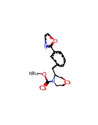 CC(C)(C)OC(=O)N1CCOCC1Cc1cccc(-c2ncco2)c1